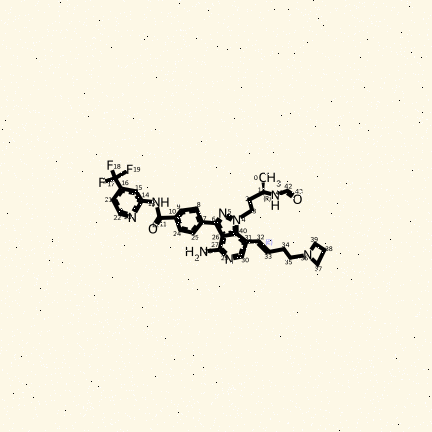 C[C@H](CCn1nc(-c2ccc(C(=O)Nc3cc(C(F)(F)F)ccn3)cc2)c2c(N)ncc(/C=C/CCN3CCC3)c21)NC=O